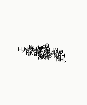 Nc1nc2c(ncn2[C@@H]2S[C@@H]3CO[PH](=O)O[C@H]4[C@H](F)[C@H](n5cnc6c(N)ncnc65)O[C@@H]4CO[PH](=O)O[C@@H]2[C@@H]3O)c(=O)[nH]1